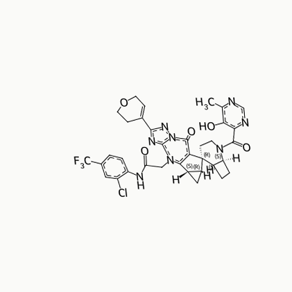 Cc1ncnc(C(=O)N2CC[C@]3(c4c(n(CC(=O)Nc5ccc(C(F)(F)F)cc5Cl)c5nc(C6=CCOCC6)nn5c4=O)[C@H]4C[C@H]43)[C@@H]3CC[C@@H]32)c1O